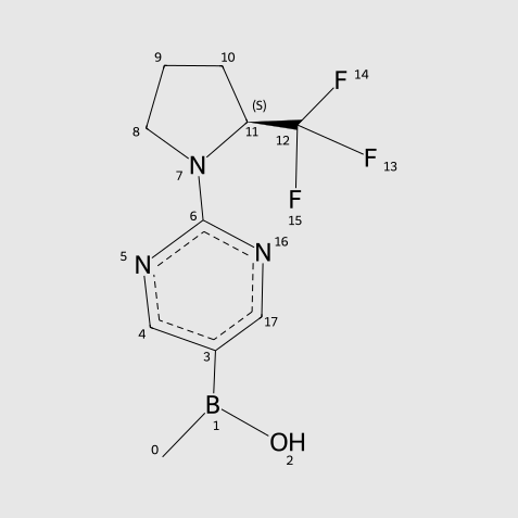 CB(O)c1cnc(N2CCC[C@H]2C(F)(F)F)nc1